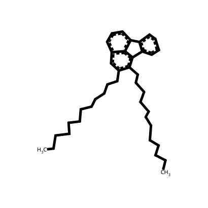 CCCCCCCCCCCCc1cc2cccc3c2c(c1CCCCCCCCCCCC)-c1ccccc1-3